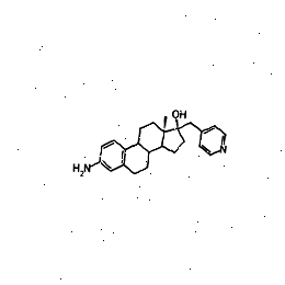 C[C@]12CCC3c4ccc(N)cc4CCC3C1CC[C@@]2(O)Cc1ccncc1